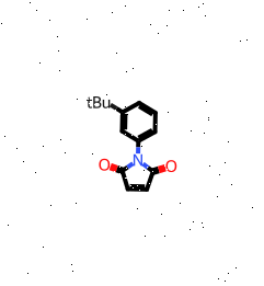 CC(C)(C)c1cccc(N2C(=O)C=CC2=O)c1